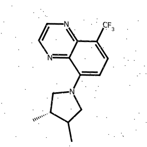 CC1CN(c2ccc(C(F)(F)F)c3nccnc23)C[C@H]1C